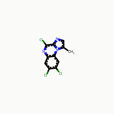 Cc1cnc2c(Cl)nc3cc(Cl)c(Cl)cc3n12